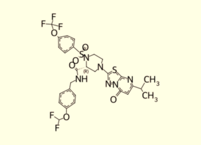 CC(C)c1cc(=O)n2nc(N3CCN(S(=O)(=O)c4ccc(OC(F)(F)F)cc4)[C@@H](C(=O)NCc4ccc(OC(F)F)cc4)C3)sc2n1